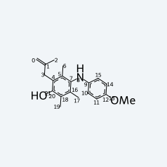 C=C(C)Cc1c(C)c(Nc2ccc(OC)cc2)c(C)c(C)c1O